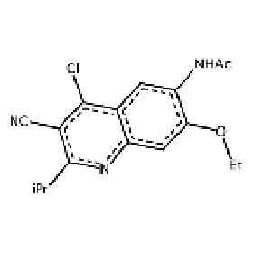 CCOc1cc2nc(C(C)C)c(C#N)c(Cl)c2cc1NC(C)=O